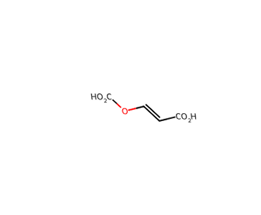 O=C(O)/C=C/OC(=O)O